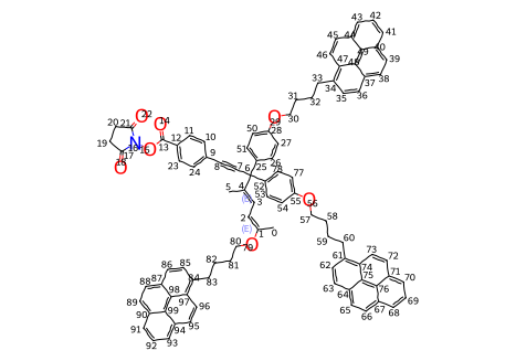 C/C(=C\C=C(/C)C(C#Cc1ccc(C(=O)ON2C(=O)CCC2=O)cc1)(c1ccc(OCCCCc2ccc3ccc4cccc5ccc2c3c45)cc1)c1ccc(OCCCCc2ccc3ccc4cccc5ccc2c3c45)cc1)OCCCCc1ccc2ccc3cccc4ccc1c2c34